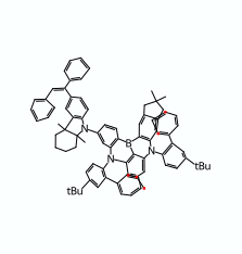 Cc1cc2c3c(c1)N(c1ccc(C(C)(C)C)cc1-c1ccccc1)c1cc4c(cc1B3c1ccc(N3c5ccc(/C(=C\c6ccccc6)c6ccccc6)cc5C5(C)CCCCC35C)cc1N2c1ccc(C(C)(C)C)cc1-c1ccccc1)CC(C)(C)C4